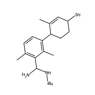 CCC(C)NC(N)c1c(C)ccc(C2CCC(S)C=C2C)c1C